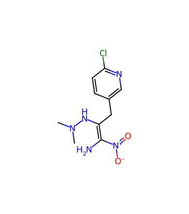 CN(C)NC(Cc1ccc(Cl)nc1)=C(N)[N+](=O)[O-]